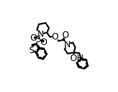 O=C(COCC1CCCCN1S(=O)(=O)c1csc2ccccc12)N1CCC(O)(Cc2ccccc2)CC1